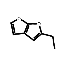 CCc1cc2ccoc2o1